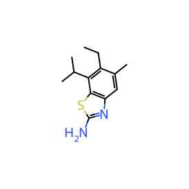 CCc1c(C)cc2nc(N)sc2c1C(C)C